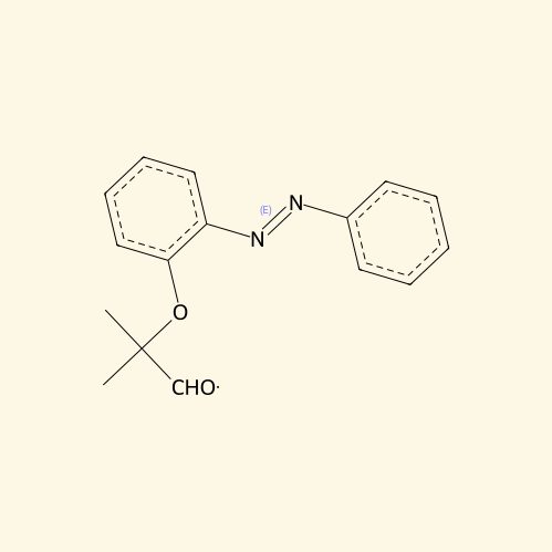 CC(C)([C]=O)Oc1ccccc1/N=N/c1ccccc1